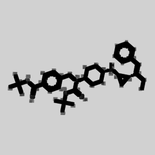 CCC(=Cc1ccccc1)[C@@H]1C[C@H]1N[C@H]1CC[C@H](N(Cc2ccc(C(=O)OC(C)(C)C)cc2)C(=O)OC(C)(C)C)CC1